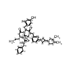 C=CCN1CC(=O)N2[C@@H](Cc3ccc(O)cc3F)C(=O)N(Cc3cccc(N4CC(N5CCN(C)[C@@H](C)C5)C4)n3)C[C@@H]2N1C(=O)NCc1ccccc1